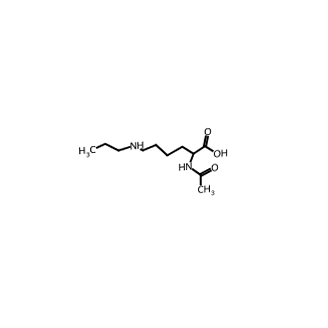 CCCNCCCCC(NC(C)=O)C(=O)O